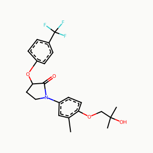 Cc1cc(N2CCC(Oc3ccc(C(F)(F)F)cc3)C2=O)ccc1OCC(C)(C)O